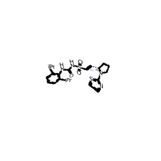 CC(C)c1cccc(C(C)C)c1NC(=O)NS(=O)(=O)/C=C/[C@@H]1CCCN1c1nccs1